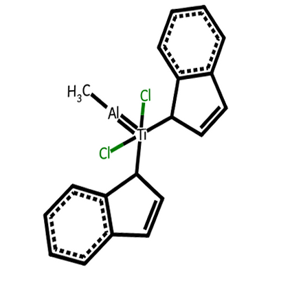 [CH3][Al]=[Ti]([Cl])([Cl])([CH]1C=Cc2ccccc21)[CH]1C=Cc2ccccc21